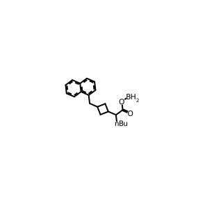 BOC(=O)C(CCCC)C1CC(Cc2cccc3ccccc23)C1